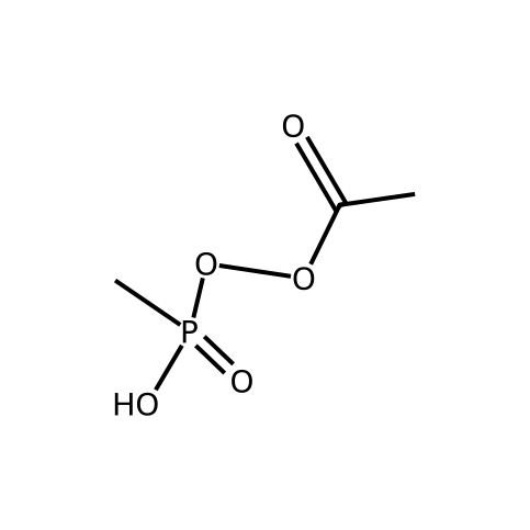 CC(=O)OOP(C)(=O)O